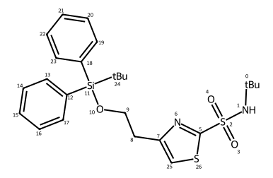 CC(C)(C)NS(=O)(=O)c1nc(CCO[Si](c2ccccc2)(c2ccccc2)C(C)(C)C)cs1